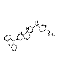 NCc1ccc([SiH2]c2cnc3c(ccc4cc(-c5c6ccccc6cc6ccccc56)cnc43)c2)cc1